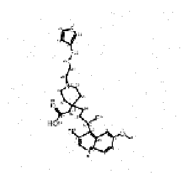 COc1ccc2ncc(Cl)c([C@H](F)CCC3(CC(=O)O)CCN(CCCSc4ccsc4)CC3)c2c1